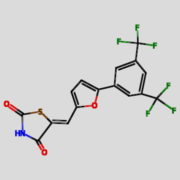 O=C1NC(=O)C(=Cc2ccc(-c3cc(C(F)(F)F)cc(C(F)(F)F)c3)o2)S1